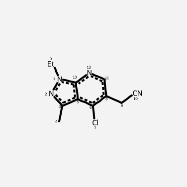 CCn1nc(C)c2c(Cl)c(CC#N)cnc21